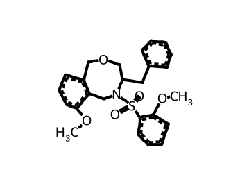 COc1ccccc1S(=O)(=O)N1Cc2c(cccc2OC)COCC1Cc1ccccc1